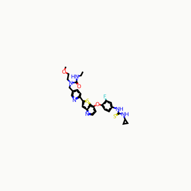 CCNC(=O)N(CCOC)Cc1ccc(-c2cc3nccc(Oc4ccc(NC(=S)NC5CC5)cc4F)c3s2)nc1